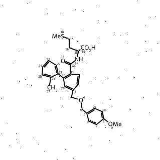 COc1ccc(COCc2ccc(C(=O)N[C@@H](CCSC)C(=O)O)c(-c3ccccc3C)c2)cc1